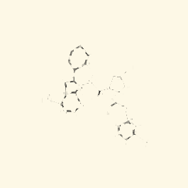 C[C@@H]1CC(C(=O)N2Oc3ccccc3-c3cc4c(N)ncnc4n32)[C@@H](C(=O)Nc2cccc(Br)n2)C1